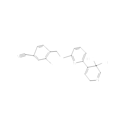 CC1(C)C=NCC=C1c1cccc(OCc2ccc(C#N)cc2F)n1